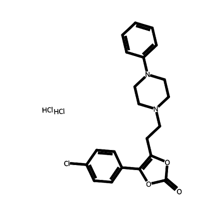 Cl.Cl.O=c1oc(CCN2CCN(c3ccccc3)CC2)c(-c2ccc(Cl)cc2)o1